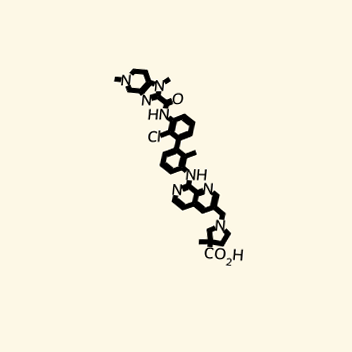 Cc1c(Nc2nccc3cc(CN4CCC(C)(C(=O)O)C4)cnc23)cccc1-c1cccc(NC(=O)c2nc3c(n2C)CCN(C)C3)c1Cl